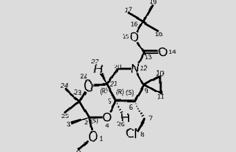 CO[C@@]1(C)O[C@@H]2[C@@H](CCl)C3(CC3)N(C(=O)OC(C)(C)C)C[C@H]2OC1(C)C